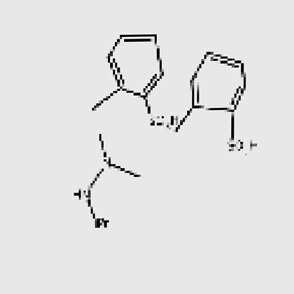 CC(C)NN(C)C.Cc1ccccc1S(=O)(=O)O.Cc1ccccc1S(=O)(=O)O